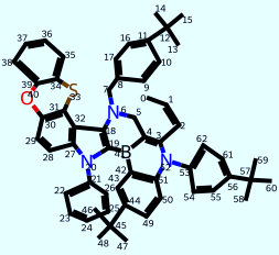 C/C=C\C1=C2CN(Cc3ccc(C(C)(C)C)cc3)c3c(n(-c4ccccc4)c4ccc5c(c34)Sc3ccccc3O5)B2c2cc(C(C)(C)C)ccc2N1c1ccc(C(C)(C)C)cc1